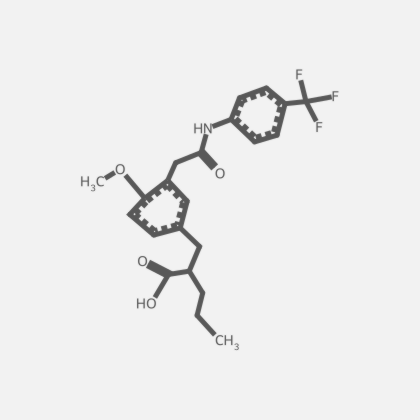 CCCC(Cc1ccc(OC)c(CC(=O)Nc2ccc(C(F)(F)F)cc2)c1)C(=O)O